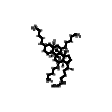 CCCCCCCCNCCC[C@@H](C)C1CC[C@H]2[C@@H]3[C@H](OCCCN)C[C@@H]4C[C@H](OCCCN)CC[C@]4(C)[C@H]3C[C@H](OCCCN)[C@]12C